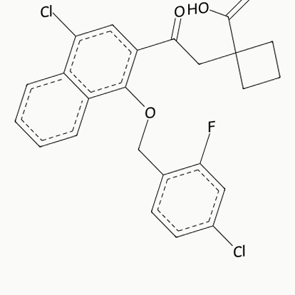 O=C(CC1(C(=O)O)CCC1)c1cc(Cl)c2ccccc2c1OCc1ccc(Cl)cc1F